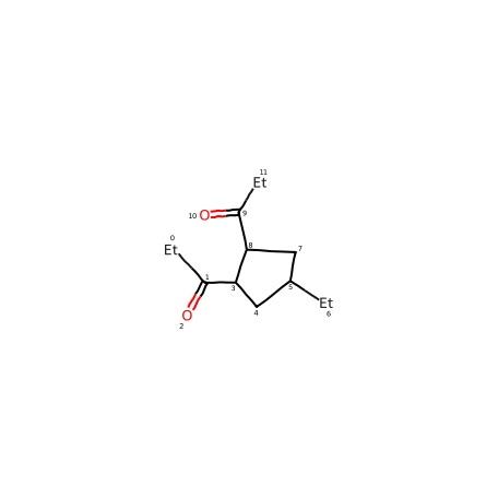 CCC(=O)C1CC(CC)CC1C(=O)CC